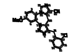 COc1ccc2c(c1)-n1nnc(Cc3ccccc3Cl)c1Cc1c(C#N)ncn1-2